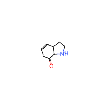 O=C1CC=CC2CCNC12